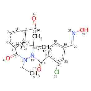 CCN(C(=O)c1cccc(C=O)c1)N(C(=O)c1ccc(C=NO)cc1Cl)C(C)(C)C